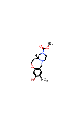 CC(C)(C)OC(=O)N1CCN2Cc3cc([N+](=O)[O-])c(Br)cc3OCC[C@@H]2C1